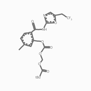 Cc1ccc(C(=O)Nc2ncc(CC(F)(F)F)o2)c(OC(=O)OCOC(=O)C(C)(C)C)c1